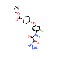 CCOC(=O)[C@H]1CC[C@H](Oc2ccc(NC(=O)C(=O)NN)c(F)c2)CC1